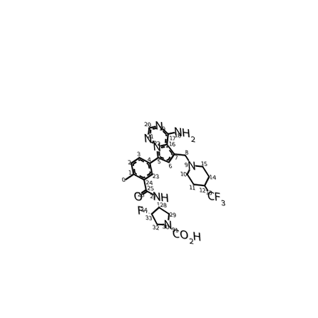 Cc1ccc(-c2cc(CN3CCC(C(F)(F)F)CC3)c3c(N)ncnn23)cc1C(=O)N[C@@H]1CN(C(=O)O)C[C@@H]1F